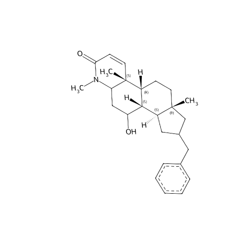 CN1C(=O)C=C[C@@]2(C)C1CC(O)[C@@H]1[C@H]2CC[C@]2(C)CC(Cc3ccccc3)C[C@@H]12